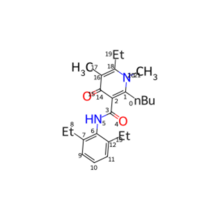 CCCCc1c(C(=O)Nc2c(CC)cccc2CC)c(=O)c(C)c(CC)n1C